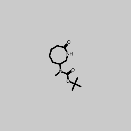 CN(C(=O)OC(C)(C)C)C1CCCCC(=O)NC1